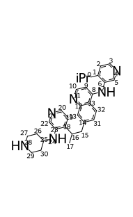 CC(C)c1ccncc1Nc1ccnc2cc(CC(C)c3ccncc3NC3CCNCC3)ccc12